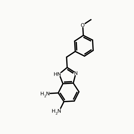 COc1cccc(Cc2nc3ccc(N)c(N)c3[nH]2)c1